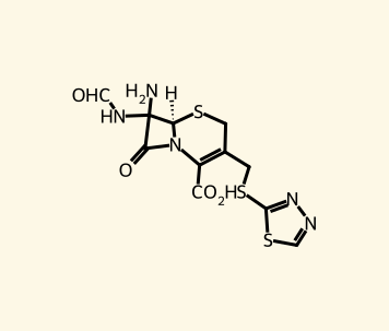 NC1(NC=O)C(=O)N2C(C(=O)O)=C(CSc3nncs3)CS[C@@H]21